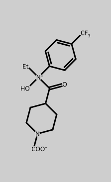 CC[N+](O)(C(=O)C1CCN(C(=O)[O-])CC1)c1ccc(C(F)(F)F)cc1